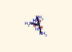 NCCCNC(=O)CCN(CCC(=O)NCCN)CCC(=O)NCCN